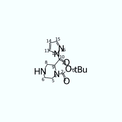 CC(C)(C)OC(=O)N1CCNCC1C(=O)n1cccn1